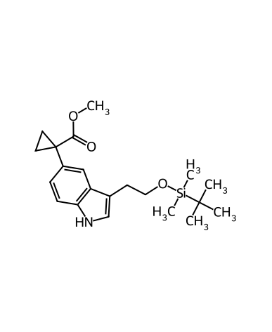 COC(=O)C1(c2ccc3[nH]cc(CCO[Si](C)(C)C(C)(C)C)c3c2)CC1